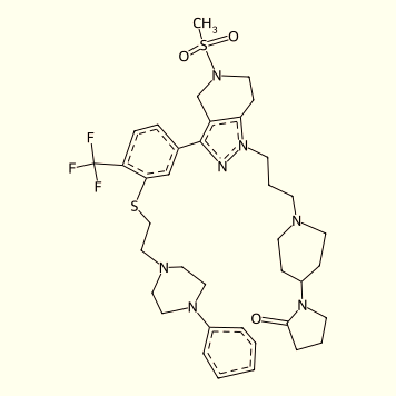 CS(=O)(=O)N1CCc2c(c(-c3ccc(C(F)(F)F)c(SCCN4CCN(c5ccccc5)CC4)c3)nn2CCCN2CCC(N3CCCC3=O)CC2)C1